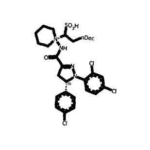 CCCCCCCCCCCC([N+]1(NC(=O)C2=NN(c3ccc(Cl)cc3Cl)[C@H](c3ccc(Cl)cc3)C2)CCCCC1)S(=O)(=O)O